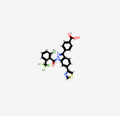 O=C(O)c1ccc(-c2nn(C(=O)c3c(Cl)cccc3C(F)(F)F)c3cc(-c4cscn4)ccc23)cc1